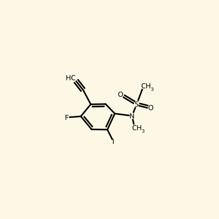 C#Cc1cc(N(C)S(C)(=O)=O)c(I)cc1F